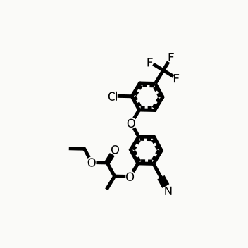 CCOC(=O)C(C)Oc1cc(Oc2ccc(C(F)(F)F)cc2Cl)ccc1C#N